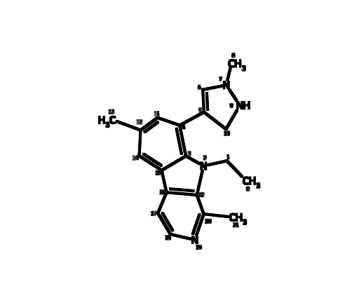 CCn1c2c(C3=CN(C)NC3)cc(C)cc2c2ccnc(C)c21